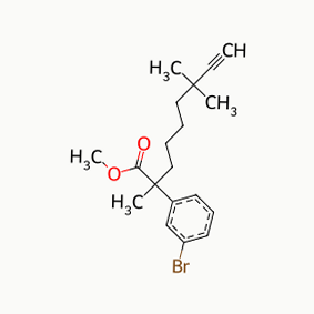 C#CC(C)(C)CCCCC(C)(C(=O)OC)c1cccc(Br)c1